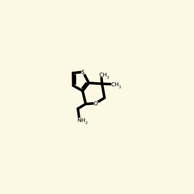 CC1(C)COC(CN)c2ccsc21